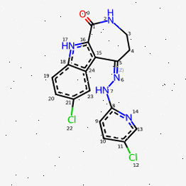 O=C1NCC/C(=N/Nc2ccc(Cl)cn2)c2c1[nH]c1ccc(Cl)cc21